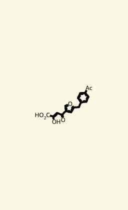 CC(=O)c1ccc(Cc2cc(C(=O)C=C(O)C(=O)O)co2)cc1